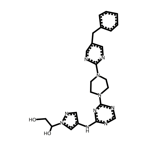 OCC(O)n1cc(Nc2ncnc(N3CCN(c4ncc(Cc5ccccc5)cn4)CC3)n2)cn1